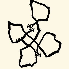 OC1(CC(C2(O)CCCCC2)(C2(O)CCCCC2)C2(O)CCCCC2)CCCCC1